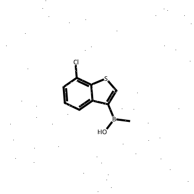 CB(O)c1csc2c(Cl)cccc12